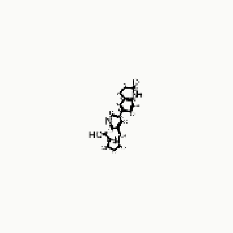 CN1C(=O)CCc2cc(-c3cncc(CN4CCCC4CO)c3)ccc21